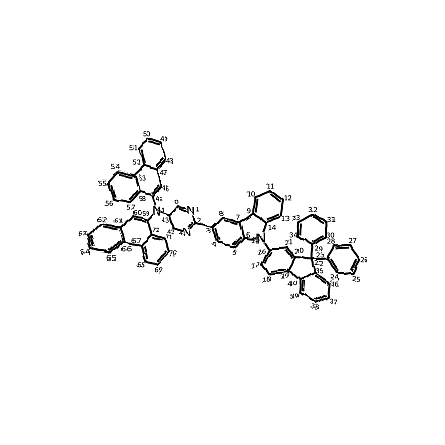 C1=NC(c2ccc3c(c2)c2ccccc2n3-c2ccc3c(c2)C(c2ccccc2)(c2ccccc2)c2ccccc2-3)=NCC1N(c1cc2ccccc2c2ccccc12)c1cc2ccccc2c2ccccc12